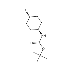 CC(C)(C)OC(=O)N[C@H]1CC[C@@H](F)CC1